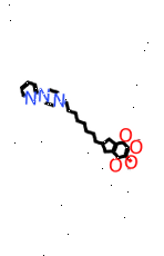 COC1=C(OC)C(=O)C2=C(CC(CCCCCCCCN3CCN(c4ccccn4)CC3)C2)C1=O